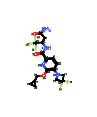 NC(=O)CC(NC(=O)c1ccc(N2CC(F)(F)C2)c(OCC2CC2)n1)C(F)(F)F